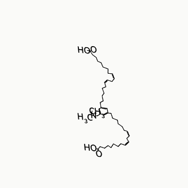 CN(C)Cc1cc(CCCCCC/C=C\C/C=C\CCCCCCCC(=O)O)cc(CCCCCC/C=C\C/C=C\CCCCCCCC(=O)O)c1